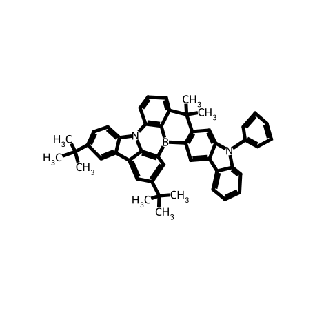 CC(C)(C)c1ccc2c(c1)c1cc(C(C)(C)C)cc3c1n2-c1cccc2c1B3c1cc3c4ccccc4n(-c4ccccc4)c3cc1C2(C)C